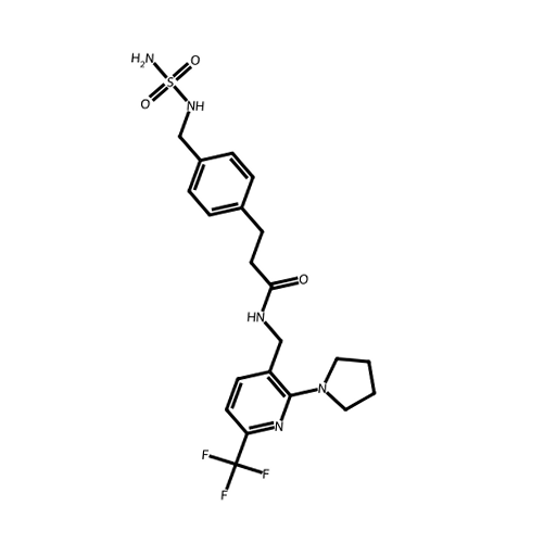 NS(=O)(=O)NCc1ccc(CCC(=O)NCc2ccc(C(F)(F)F)nc2N2CCCC2)cc1